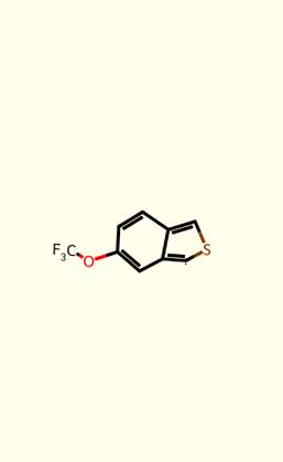 FC(F)(F)Oc1ccc2cs[c]c2c1